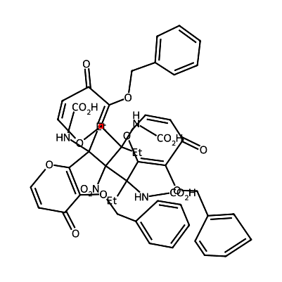 CCC(NC(=O)O)(c1occc(=O)c1OCc1ccccc1)C([N+](=O)[O-])(C(CC)(NC(=O)O)c1occc(=O)c1OCc1ccccc1)C(CC)(NC(=O)O)c1occc(=O)c1OCc1ccccc1